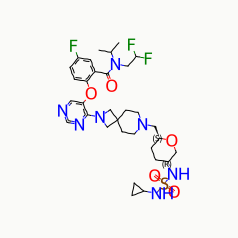 CC(C)N(CC(F)F)C(=O)c1cc(F)ccc1Oc1cncnc1N1CC2(CCN(C[C@@H]3CC[C@@H](NS(=O)(=O)NC4CC4)CO3)CC2)C1